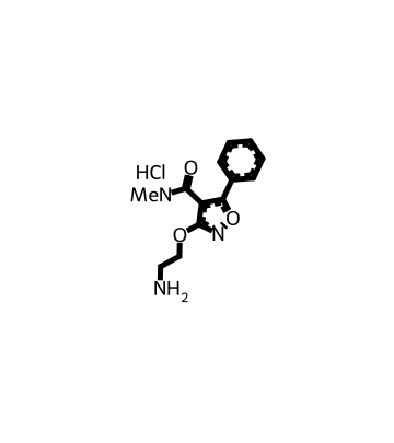 CNC(=O)c1c(OCCN)noc1-c1ccccc1.Cl